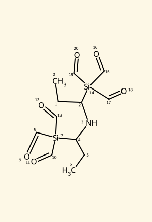 CCC(NC(CC)[Si](C=O)(C=O)C=O)[Si](C=O)(C=O)C=O